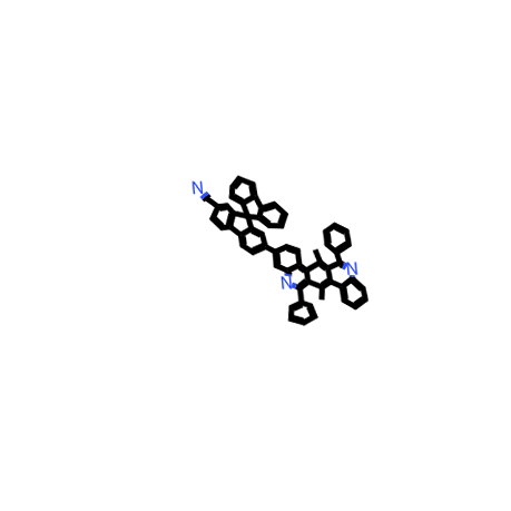 Cc1c2c(-c3ccccc3)nc3cc(-c4ccc5c(c4)C4(c6ccccc6-c6ccccc64)c4cc(C#N)ccc4-5)ccc3c2c(C)c2c(-c3ccccc3)nc3ccccc3c12